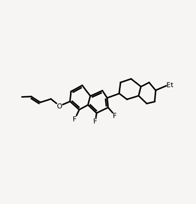 CC=CCOc1ccc2cc(C3CCC4CC(CC)CCC4C3)c(F)c(F)c2c1F